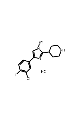 CC(C)n1cc(-c2ccc(F)c(Cl)c2)nc1C1CCNCC1.Cl